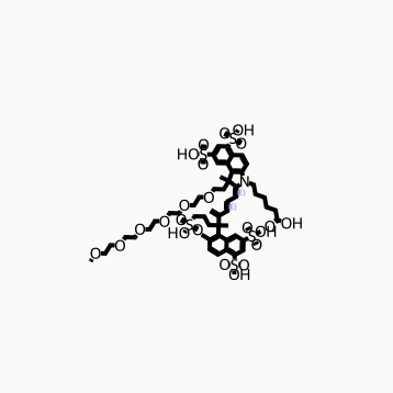 C=C(/C=C/C=C1/N(CCCCCC(=O)O)c2ccc3c(S(=O)(=O)O)cc(S(=O)(=O)O)cc3c2C1(C)CCOCCOCCOCCOCCOCCOC)C(C)(CCCS(=O)(=O)O)c1c(C)ccc2c(S(=O)(=O)O)cc(S(=O)(=O)O)cc12